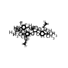 CC(C)(C)c1ccc(OC(C(=O)O)C(Oc2ccc(C(C)(C)C)c(OCC3CC3)c2)C(=O)NCc2ccc(NS(C)(=O)=O)c(F)c2)cc1OCC1CC1